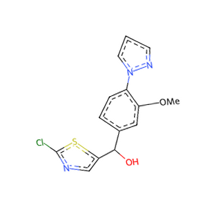 COc1cc(C(O)c2cnc(Cl)s2)ccc1-n1cccn1